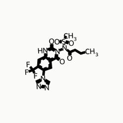 CCCC(=O)N(n1c(=O)[nH]c2cc(C(F)(F)F)c(-n3cnnc3)cc2c1=O)S(C)(=O)=O